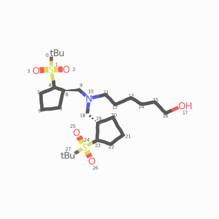 CC(C)(C)S(=O)(=O)C1CCC[C@@H]1CN(CCCCCCO)C[C@@H]1CCCC1S(=O)(=O)C(C)(C)C